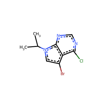 CC(C)n1cc(Br)c2c(Cl)ncnc21